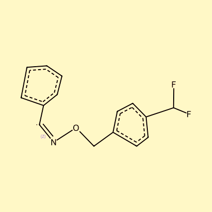 FC(F)c1ccc(CO/N=[C]\c2ccccc2)cc1